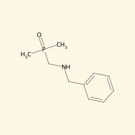 CP(C)(=O)CNCc1ccccc1